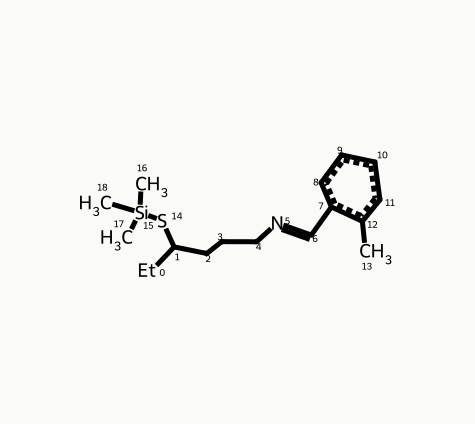 CCC(CCC/N=C/c1ccccc1C)S[Si](C)(C)C